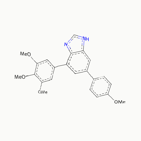 COc1ccc(-c2cc(-c3cc(OC)c(OC)c(OC)c3)c3nc[nH]c3c2)cc1